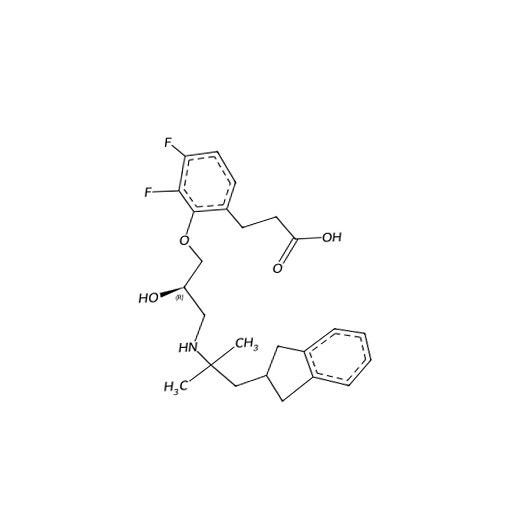 CC(C)(CC1Cc2ccccc2C1)NC[C@@H](O)COc1c(CCC(=O)O)ccc(F)c1F